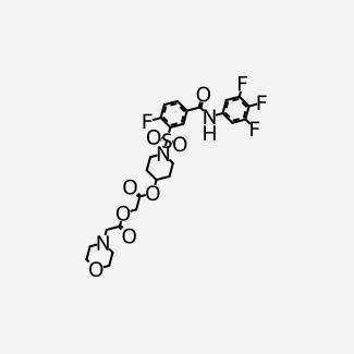 O=C(CN1CCOCC1)OCC(=O)OC1CCN(S(=O)(=O)c2cc(C(=O)Nc3cc(F)c(F)c(F)c3)ccc2F)CC1